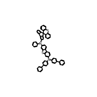 c1ccc2c(c#1)C1(c3ccccc3S2)c2ccccc2-c2cc(N(c3ccccc3)c3ccc4c(c3)sc3cc(N(c5ccc(-c6ccccc6)cc5)c5ccc(-c6ccccc6)cc5)ccc34)ccc21